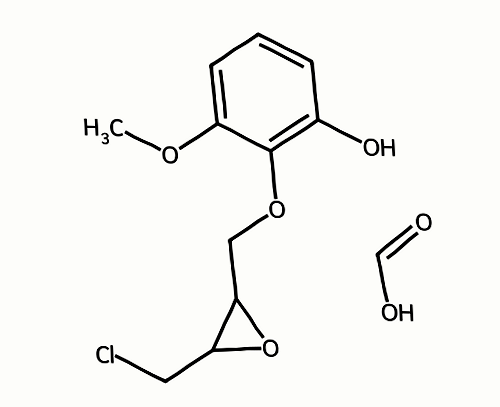 COc1cccc(O)c1OCC1OC1CCl.O=CO